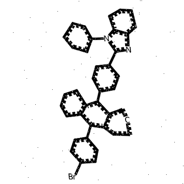 Brc1ccc(-c2c3ccccc3c(-c3ccc(-c4nc5ccccc5n4-c4ccccc4)cc3)c3ccccc23)cc1